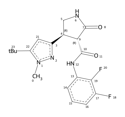 Cn1nc([C@H]2CNC(=O)[C@@H]2C(=O)Nc2cccc(F)c2F)cc1C(C)(C)C